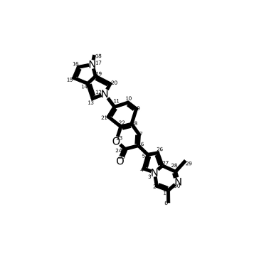 Cc1cn2cc(-c3cc4ccc(-n5cc6ccn(C)c6c5)cc4oc3=O)cc2c(C)n1